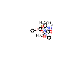 Cc1oc(-c2ccccc2)nc1C(=O)N1C2=CCCC(O)=C2NC2=C(C(=O)CC(C)(C)C2)C1c1ccc(OCc2ccccc2)cc1F